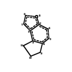 c1cc2c3c(ccc2o1)CCC3